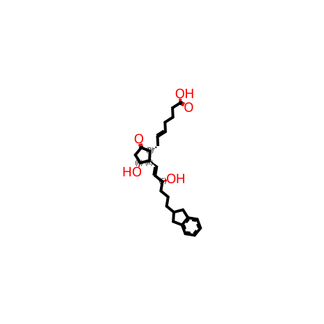 O=C(O)CCCC=CC[C@H]1C(=O)C[C@@H](O)[C@@H]1C=C[C@@H](O)CCCC1Cc2ccccc2C1